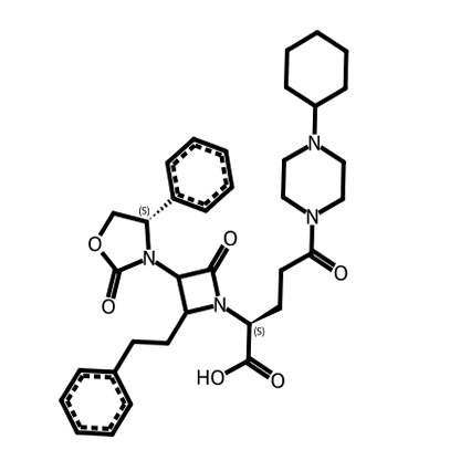 O=C(O)[C@H](CCC(=O)N1CCN(C2CCCCC2)CC1)N1C(=O)C(N2C(=O)OC[C@@H]2c2ccccc2)C1CCc1ccccc1